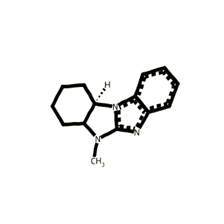 CN1c2nc3ccccc3n2[C@@H]2CCCCC21